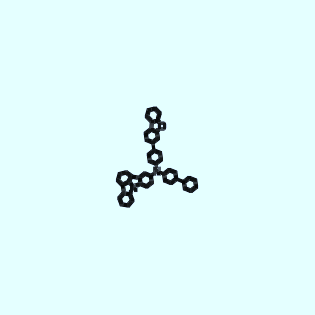 c1ccc(-c2ccc(N(c3ccc(-c4ccc5c(c4)oc4ccccc45)cc3)c3ccc4c(c3)c3cccc5c6ccccc6n4c53)cc2)cc1